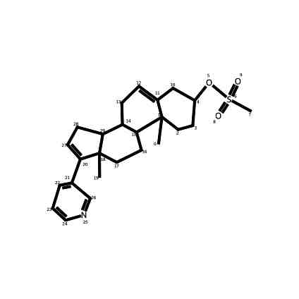 CC12CCC(OS(C)(=O)=O)CC1=CCC1C2CCC2(C)C(c3cccnc3)=CCC12